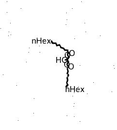 CCCCCCC=CCCCCCCCC(=O)OCC(O)COC(=O)CCCCCCCC=CCCCCCC